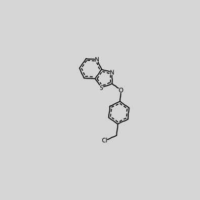 ClCc1ccc(Oc2nc3ncccc3s2)cc1